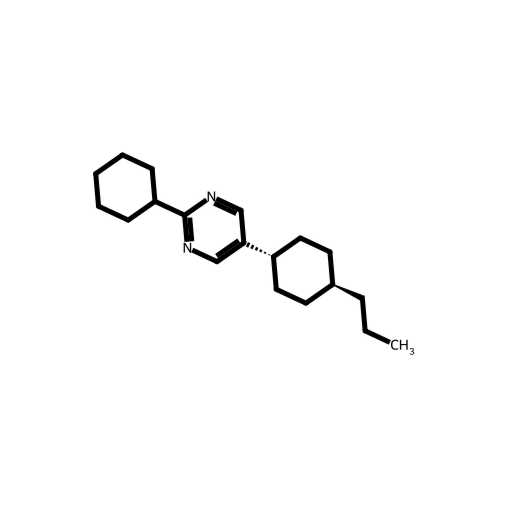 CCC[C@H]1CC[C@H](c2cnc(C3CCCCC3)nc2)CC1